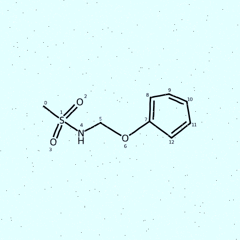 CS(=O)(=O)NCOc1ccccc1